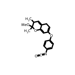 COC1(C)OC2=CC(Oc3ccc(N=C=O)cc3)=CCC2=CC1C